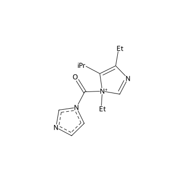 CCC1=C(C(C)C)[N+](CC)(C(=O)n2ccnc2)C=N1